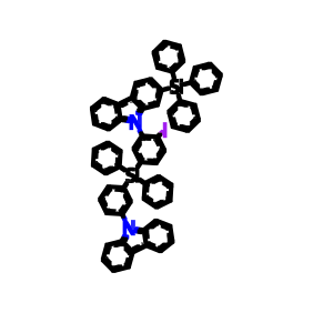 Ic1ccc([Si](c2ccccc2)(c2ccccc2)c2cccc(-n3c4ccccc4c4ccccc43)c2)cc1-n1c2ccccc2c2ccc([Si](c3ccccc3)(c3ccccc3)c3ccccc3)cc21